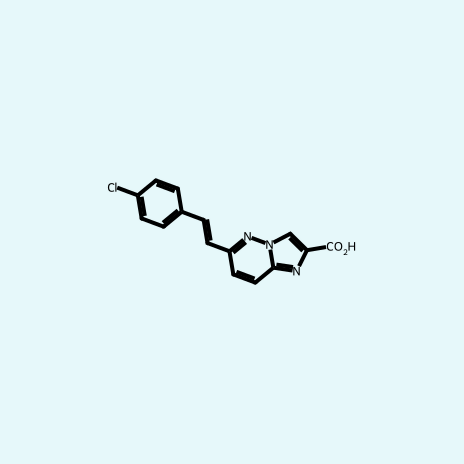 O=C(O)c1cn2nc(C=Cc3ccc(Cl)cc3)ccc2n1